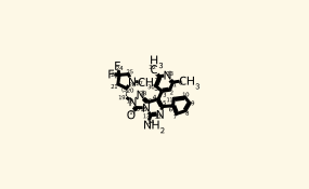 Cc1cc(-c2c(-c3ccccc3)nc(N)n3c(=O)n(C[C@@H]4CC(F)(F)CN4C)nc23)cc(C)n1